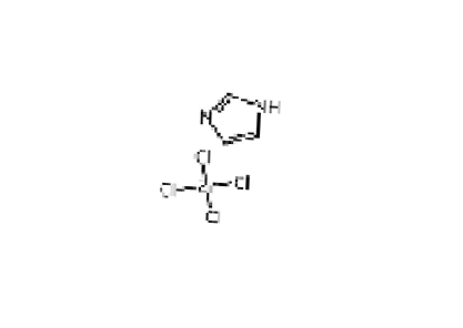 [Cl][Zr]([Cl])([Cl])[Cl].c1c[nH]cn1